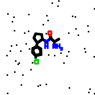 CC(N)C(=O)NC1CCCC1c1ccc(Cl)cc1